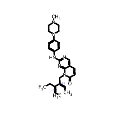 C/C=C(CC(F)(F)F)\C(=C/C)Cn1c(=O)ccc2cnc(Nc3ccc(N4CCN(C)CC4)cc3)nc21